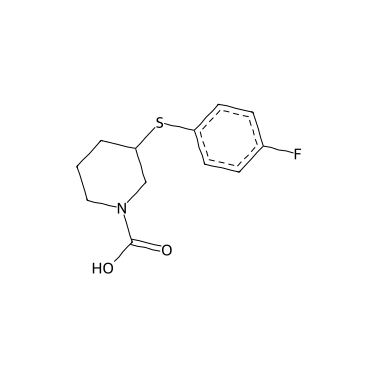 O=C(O)N1CCCC(Sc2ccc(F)cc2)C1